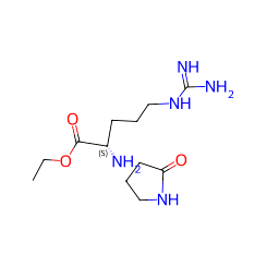 CCOC(=O)[C@@H](N)CCCNC(=N)N.O=C1CCCN1